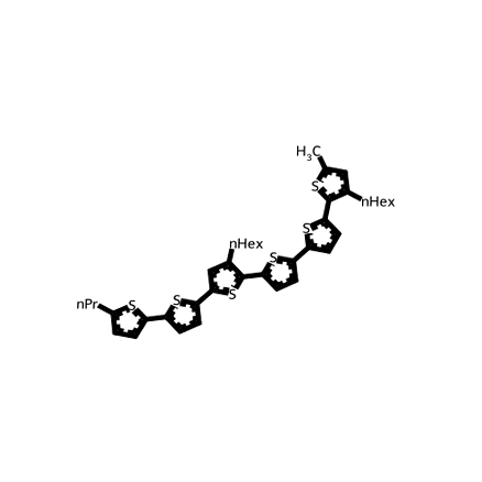 CCCCCCc1cc(C)sc1-c1ccc(-c2ccc(-c3sc(-c4ccc(-c5ccc(CCC)s5)s4)cc3CCCCCC)s2)s1